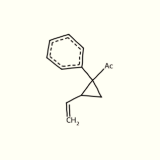 C=CC1CC1(C(C)=O)c1ccccc1